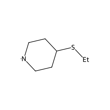 CCSC1CC[N]CC1